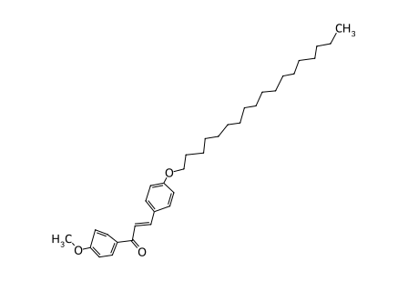 CCCCCCCCCCCCCCCCCCOc1ccc(C=CC(=O)c2ccc(OC)cc2)cc1